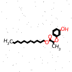 CCCCCCCCCCCOC(=O)C(C)Oc1cccc(O)c1